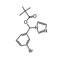 CC(C)(C)C(=O)OC(c1cccc(Br)c1)n1ccnc1